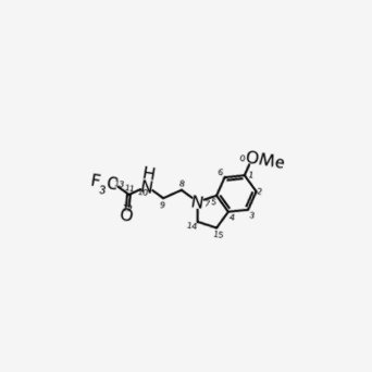 COc1ccc2c(c1)N(CCNC(=O)C(F)(F)F)CC2